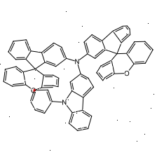 c1ccc(-n2c3ccccc3c3ccc(N(c4ccc5c(c4)C4(c6ccccc6Oc6ccccc64)c4ccccc4-5)c4ccc5c(c4)C4(c6ccccc6Oc6ccccc64)c4ccccc4-5)cc32)cc1